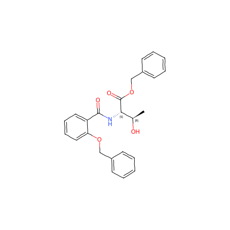 C[C@@H](O)[C@H](NC(=O)c1ccccc1OCc1ccccc1)C(=O)OCc1ccccc1